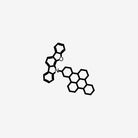 c1ccc2c(c1)oc1c2ccc2c3ccccc3n(C3CCC4C(C3)C3CCCC5C6CCCCC6C6CCCC4C6C53)c21